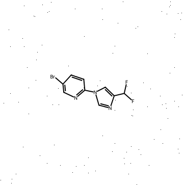 FC(F)c1cn(-c2ccc(Br)cn2)cn1